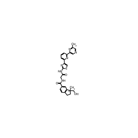 Cc1cncc(-c2cccc(-c3csc(NC(=O)CNC(=O)c4ccc5c(c4)[C@](C)(CO)CC5)n3)n2)n1